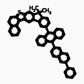 CC1(C)c2ccc(-c3c4ccccc4c(-c4ccc5cc(-c6ccccc6)ccc5c4)c4ccccc34)cc2-c2cc3c(cc21)sc1ccc2ccccc2c13